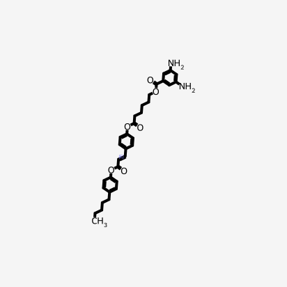 CCCCCc1ccc(OC(=O)/C=C/c2ccc(OC(=O)CCCCCOC(=O)c3cc(N)cc(N)c3)cc2)cc1